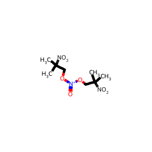 CC(C)(CO[N+](=O)OCC(C)(C)[N+](=O)[O-])[N+](=O)[O-]